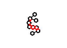 c1ccc(-c2ccccc2-c2ccccc2-n2c3ccccc3c3ccc(-c4ccccc4-c4ccccc4N(c4ccccc4)c4ccccc4)cc32)cc1